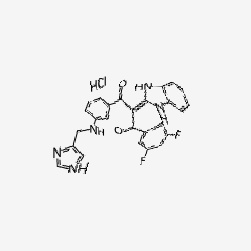 Cl.O=C(C(C(=O)c1cccc(NCc2c[nH]cn2)c1)=C1Nc2ccccc2N1)c1cc(F)cc(F)c1